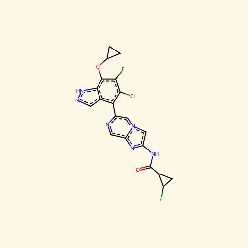 O=C(Nc1cn2cc(-c3c(Cl)c(F)c(OC4CC4)c4[nH]ncc34)ncc2n1)C1CC1F